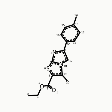 CCOC(=O)c1sc2nc(-c3ccc(C)cc3)cn2c1C